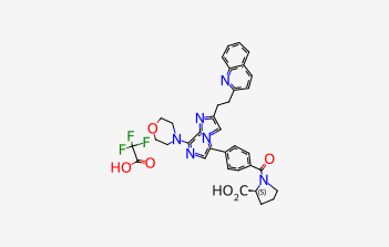 O=C(O)C(F)(F)F.O=C(O)[C@@H]1CCCN1C(=O)c1ccc(-c2cnc(N3CCOCC3)c3nc(CCc4ccc5ccccc5n4)cn23)cc1